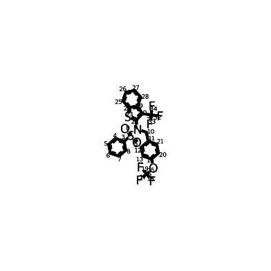 O=S(=O)(c1ccccc1)N(Cc1ccc(OC(F)(F)F)cc1)c1sc2ccccc2c1C(F)(F)F